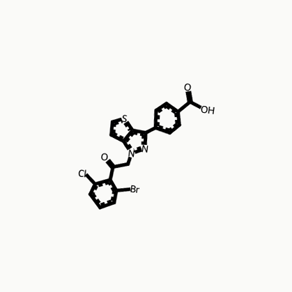 O=C(O)c1ccc(-c2nn(CC(=O)c3c(Cl)cccc3Br)c3ccsc23)cc1